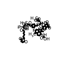 CCC1(OCN(CCS(C)(=O)=O)C(=O)OCc2ccc(NC(=O)[C@H](C)NC(=O)C(NC(=O)CCCCCN3C(=O)C=CC3=O)C(C)C)cc2)C(=O)OC(=O)C2=C1C=C1c3nc4cc(F)c(C)c5c4c(c3CN1C2)C(NC(=O)CO)CC5